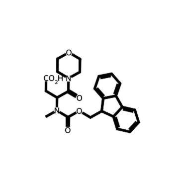 CN(C(=O)OCC1c2ccccc2-c2ccccc21)C(CC(=O)O)C(=O)N1CCOCC1